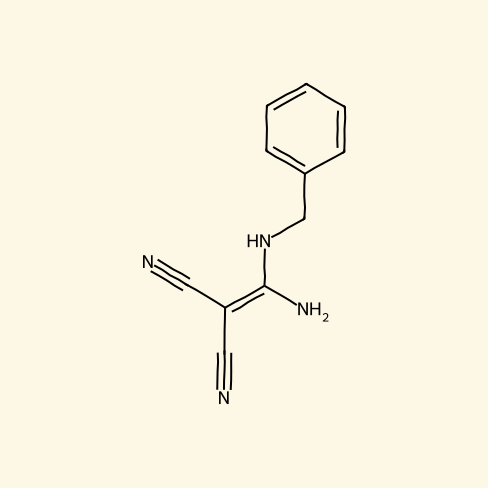 N#CC(C#N)=C(N)NCc1ccccc1